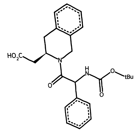 CC(C)(C)OC(=O)NC(C(=O)N1Cc2ccccc2C[C@@H]1CC(=O)O)c1ccccc1